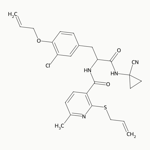 C=CCOc1ccc(CC(NC(=O)c2ccc(C)nc2SCC=C)C(=O)NC2(C#N)CC2)cc1Cl